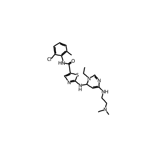 CCN1C=NC(NCCN(C)C)=CC1Nc1ncc(C(=O)Nc2c(C)cccc2Cl)s1